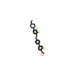 CCC1CCC(c2ccc(CCc3ccc(-c4ccc(C5CO5)c(F)c4)cc3)c(F)c2F)CC1